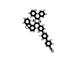 N#Cc1ccc(-c2ccc(-c3ccc(-c4nc(-c5ccccc5)c(-c5ccccc5)nc4-c4cccc5oc6ccccc6c45)cc3)cc2)cc1